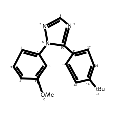 COc1cccc(-n2ncnc2-c2ccc(C(C)(C)C)cc2)c1